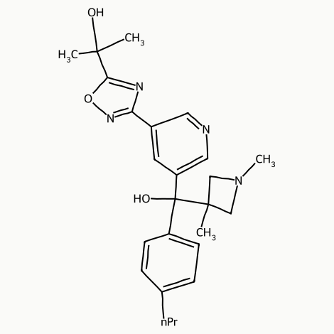 CCCc1ccc(C(O)(c2cncc(-c3noc(C(C)(C)O)n3)c2)C2(C)CN(C)C2)cc1